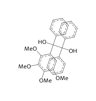 COc1cc(C(O)(c2ccccc2)C(O)(c2ccccc2)c2ccccc2)c(OC)c(OC)c1OC